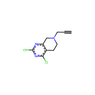 C#CCN1CCc2c(Cl)nc(Cl)nc2C1